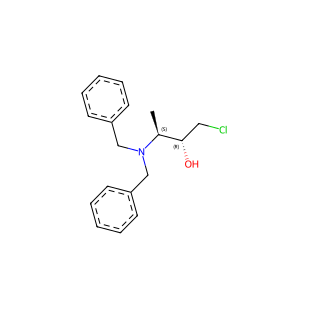 C[C@@H]([C@@H](O)CCl)N(Cc1ccccc1)Cc1ccccc1